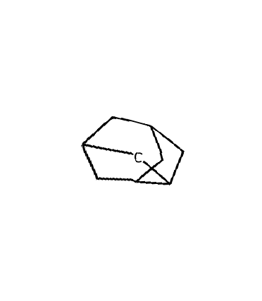 C1C2CC3CC1CC3C2